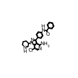 Nc1ncc(Cl)c2c1c(-c1ccc(NC(=O)c3ccccc3)cc1)nn2C1CCCNC1